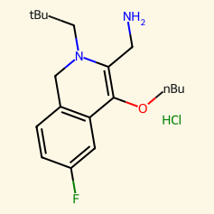 CCCCOC1=C(CN)N(CC(C)(C)C)Cc2ccc(F)cc21.Cl